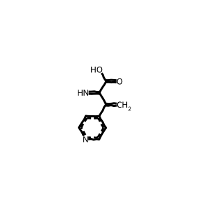 C=C(C(=N)C(=O)O)c1ccncc1